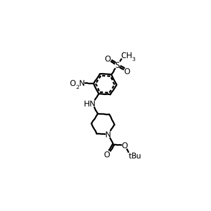 CC(C)(C)OC(=O)N1CCC(Nc2ccc(S(C)(=O)=O)cc2[N+](=O)[O-])CC1